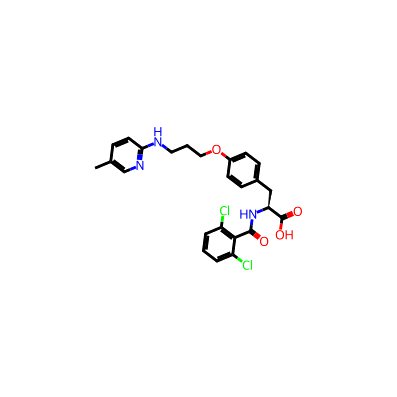 Cc1ccc(NCCCOc2ccc(C[C@H](NC(=O)c3c(Cl)cccc3Cl)C(=O)O)cc2)nc1